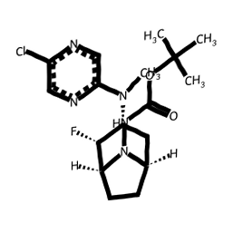 CN(c1cnc(Cl)cn1)[C@@H]1C[C@H]2CC[C@@H]([C@@H]1F)N2NC(=O)OC(C)(C)C